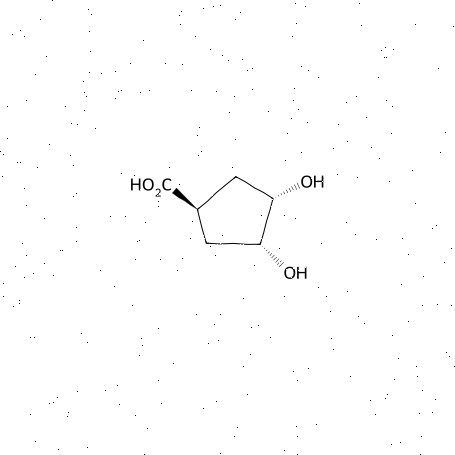 O=C(O)[C@@H]1C[C@@H](O)[C@@H](O)C1